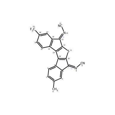 Cc1ccc2c(c1)/c(=N/C#N)c1sc3/c(=N/C#N)c4cc(C(F)(F)F)ccc4c3c12